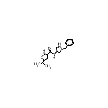 CC(C)C1CC(C(=O)NC2CNN(Cc3ccccc3)C2)NO1